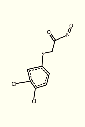 O=NC(=O)CSc1ccc(Cl)c(Cl)c1